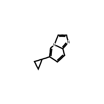 [c]1cn2cc(C3CC3)ccc2n1